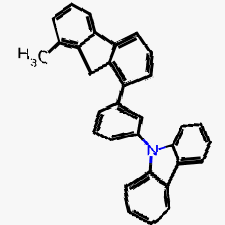 Cc1cccc2c1Cc1c(-c3cccc(-n4c5ccccc5c5ccccc54)c3)cccc1-2